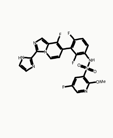 COc1ncc(F)cc1S(=O)(=O)Nc1ccc(F)c(-c2ccn3c(-c4ncc[nH]4)ncc3c2F)c1F